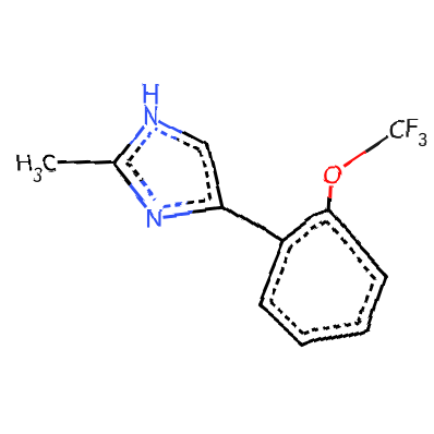 Cc1nc(-c2ccccc2OC(F)(F)F)c[nH]1